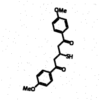 COc1ccc(C(=O)CC(S)CC(=O)c2ccc(OC)cc2)cc1